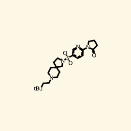 CC(C)(C)CCN1CCC2(CC1)CCN(S(=O)(=O)c1ccc(N3CCCC3=O)nc1)C2